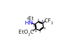 CCNc1cc(C(F)(F)F)ccc1C(=O)OCC